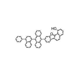 Oc1cccc2ccc3c4ccc(-c5c6ccccc6c(-c6ccc(-c7ccccc7)c7ccccc67)c6ccccc56)cc4oc3c12